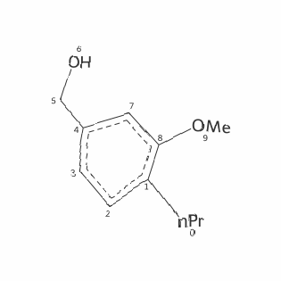 CCCc1ccc(CO)cc1OC